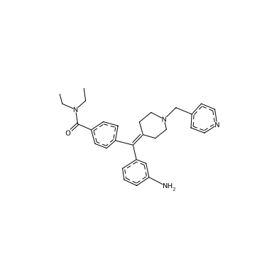 CCN(CC)C(=O)c1ccc(C(=C2CCN(Cc3ccncc3)CC2)c2cccc(N)c2)cc1